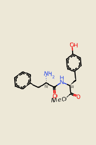 COC(=O)[C@H](Cc1ccc(O)cc1)NC(=O)[C@@H](N)Cc1ccccc1